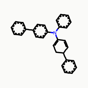 C1=CC(c2ccccc2)CC=C1N(c1ccccc1)c1ccc(-c2ccccc2)cc1